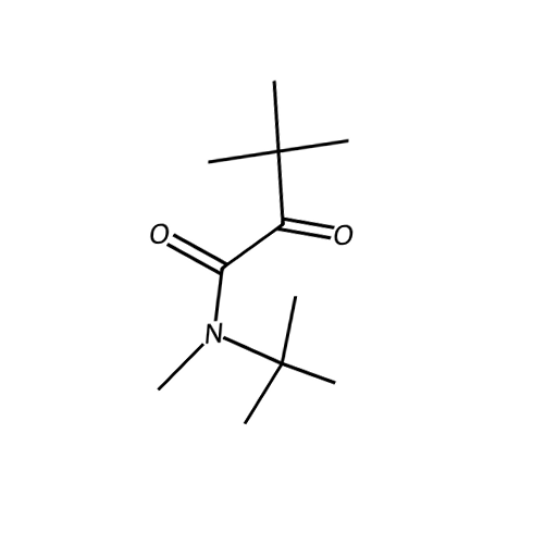 CN(C(=O)C(=O)C(C)(C)C)C(C)(C)C